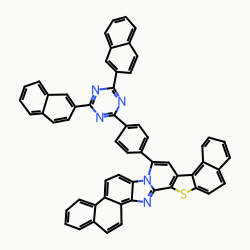 c1ccc2cc(-c3nc(-c4ccc(-c5cc6c(sc7ccc8ccccc8c76)c6nc7c8ccc9ccccc9c8ccc7n56)cc4)nc(-c4ccc5ccccc5c4)n3)ccc2c1